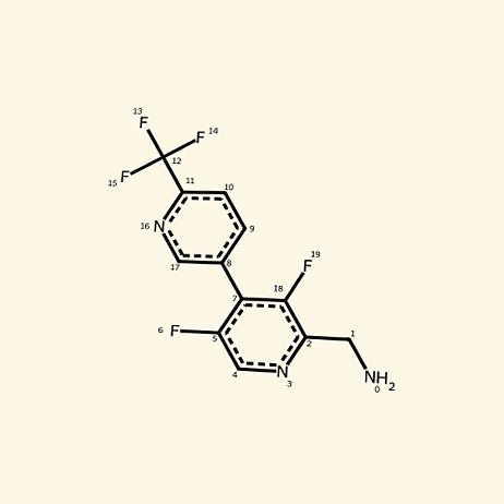 NCc1ncc(F)c(-c2ccc(C(F)(F)F)nc2)c1F